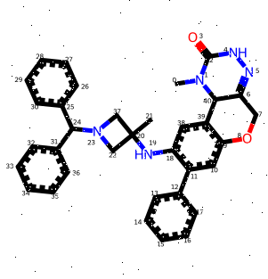 CN1C(=O)NN=C2COc3cc(-c4ccccc4)c(NC4(C)CN(C(c5ccccc5)c5ccccc5)C4)cc3C21